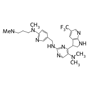 CNCCCN(C)c1ccc(CNc2ncc(N(C)C)c(C3CNc4ncc(C(F)(F)F)cc43)n2)cn1